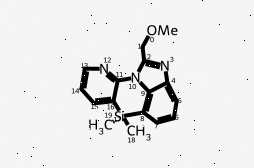 COCc1nc2cccc3c2n1-c1ncccc1[Si]3(C)C